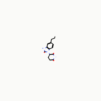 Cn1c(=O)n(C2CCC(=O)NC2=O)c2ccc(CCC=O)cc21